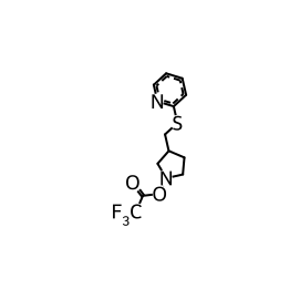 O=C(ON1CCC(CSc2ccccn2)C1)C(F)(F)F